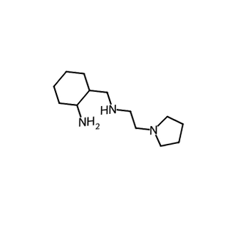 NC1CCCCC1CNCCN1CCCC1